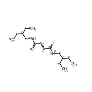 CCC(CC)CNC(=O)N=NC(=O)NCC(CC)CC